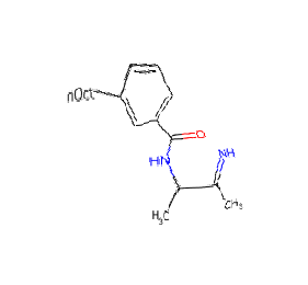 CCCCCCCCc1cccc(C(=O)NC(C)C(C)=N)c1